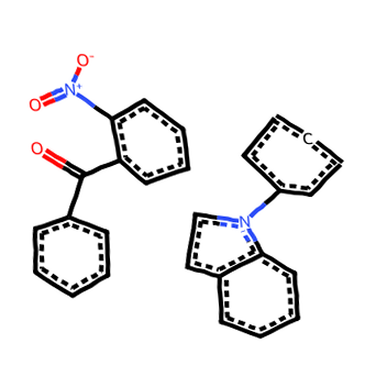 O=C(c1ccccc1)c1ccccc1[N+](=O)[O-].c1ccc(-n2ccc3ccccc32)cc1